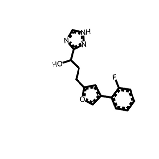 OC(CCc1cc(-c2ccccc2F)co1)c1nc[nH]n1